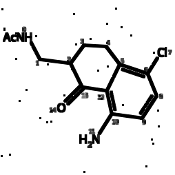 CC(=O)NCC1CCc2c(Cl)ccc(N)c2C1=O